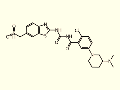 CN(C)C1CCCN(c2ccc(Cl)c(C(=O)NC(=O)Nc3nc4ccc(C[SH](=O)=O)cc4s3)c2)C1